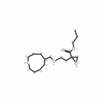 CCCOC(=O)C1(CCOCC2CCCCCCCC2)CO1